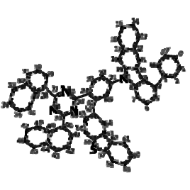 c1ccc(-c2cccc3c2c2cc4ccccc4cc2n3-c2ccc(-c3nc(-c4cccc5ccccc45)nc(-c4cccc5ccccc45)n3)c(-c3ccc4sc5ccccc5c4c3)c2)cc1